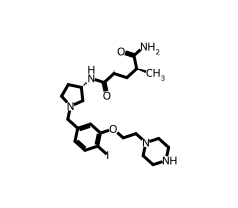 C[C@@H](C[CH]C(=O)N[C@H]1CCN(Cc2ccc(I)c(OCCN3CCNCC3)c2)C1)C(N)=O